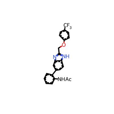 CC(=O)Nc1ccccc1-c1ccc2[nH]c(COc3ccc(C(F)(F)F)cc3)nc2c1